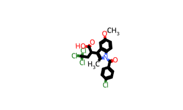 COc1ccc2c(c1)c(C(CC(Cl)(Cl)Cl)C(=O)O)c(C)n2C(=O)c1ccc(Cl)cc1